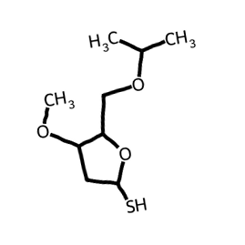 COC1CC(S)OC1COC(C)C